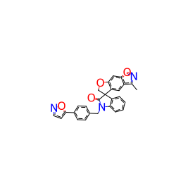 Cc1noc2cc3c(cc12)C1(CO3)C(=O)N(Cc2ccc(-c3ccno3)cc2)c2ccccc21